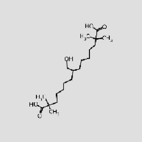 CC(C)(CCCCCC(CO)CCCCCC(C)(C)C(=O)O)C(=O)O